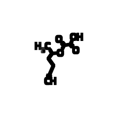 C#CCCC(C)OC(=O)C(=O)O